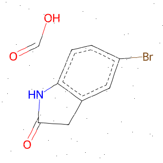 O=C1Cc2cc(Br)ccc2N1.O=CO